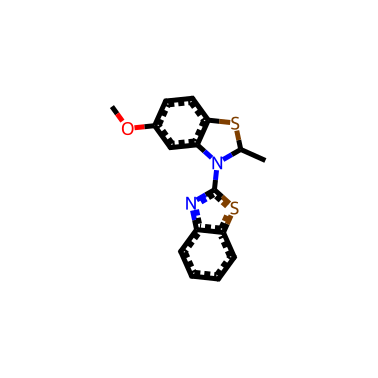 COc1ccc2c(c1)N(c1nc3ccccc3s1)C(C)S2